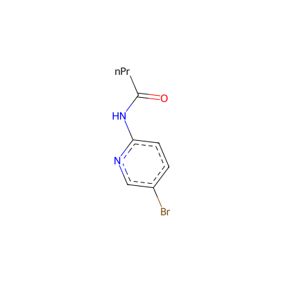 CCCC(=O)Nc1ccc(Br)cn1